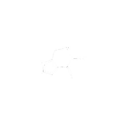 [CH2]OCc1occc1C(=O)OCCC